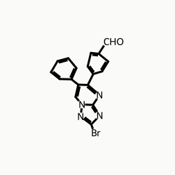 O=Cc1ccc(-c2nc3nc(Br)nn3cc2-c2ccccc2)cc1